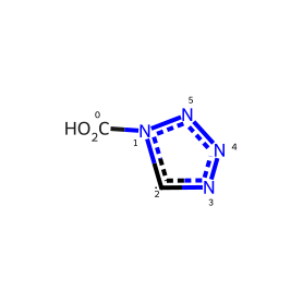 O=C(O)n1[c]nnn1